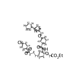 CCOC(=O)COc1ccc(CCCS(=O)(=O)c2ccc(Cl)cc2)cc1NC(=O)c1cccc(OCc2nc(-c3ccccc3)cs2)c1